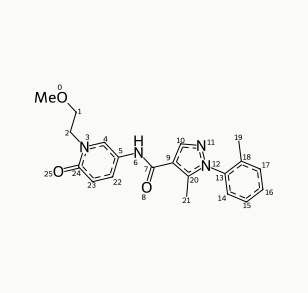 COCCn1cc(NC(=O)c2cnn(-c3ccccc3C)c2C)ccc1=O